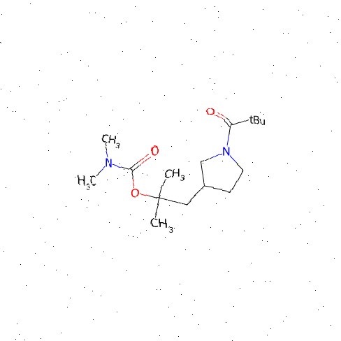 CN(C)C(=O)OC(C)(C)CC1CCN(C(=O)C(C)(C)C)C1